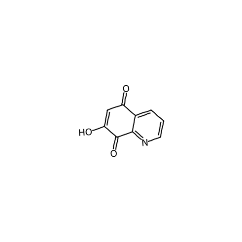 O=C1C=C(O)C(=O)c2ncccc21